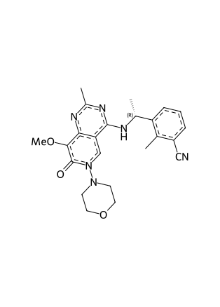 COc1c(=O)n(N2CCOCC2)cc2c(N[C@H](C)c3cccc(C#N)c3C)nc(C)nc12